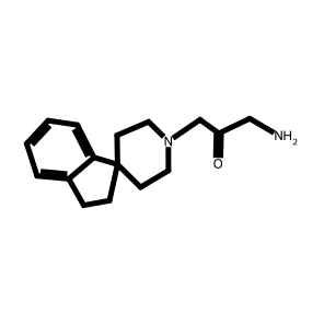 NCC(=O)CN1CCC2(CCc3ccccc32)CC1